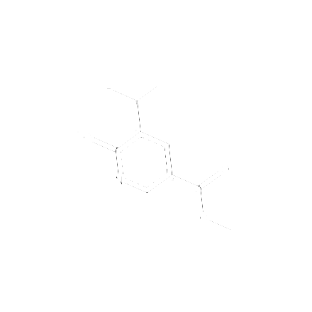 COC(=O)c1c[nH]c(=O)c(C(F)F)c1